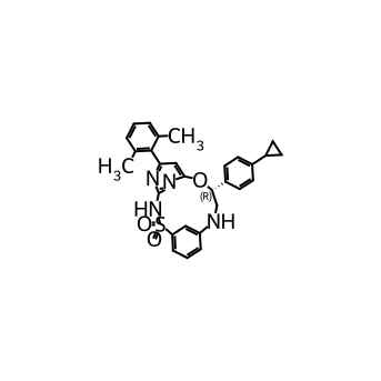 Cc1cccc(C)c1-c1cc2nc(n1)NS(=O)(=O)c1cccc(c1)NC[C@@H](c1ccc(C3CC3)cc1)O2